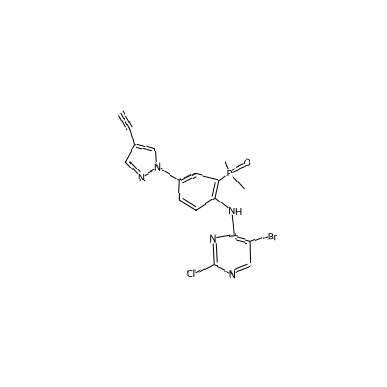 C#Cc1cnn(-c2ccc(Nc3nc(Cl)ncc3Br)c(P(C)(C)=O)c2)c1